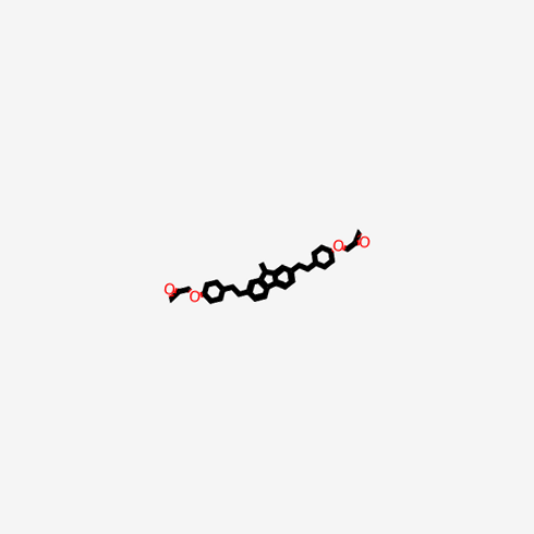 CC1c2cc(CCC3CCC(OCC4CO4)CC3)ccc2-c2ccc(CCC3CCC(OCC4CO4)CC3)cc21